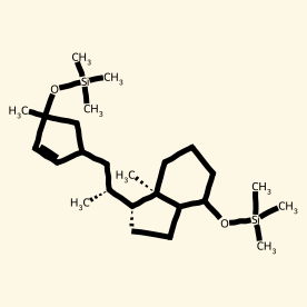 C[C@H](CC1C=CC(C)(O[Si](C)(C)C)C1)[C@H]1CCC2C(O[Si](C)(C)C)CCC[C@@]21C